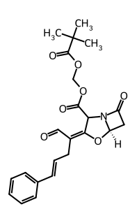 CC(C)(C)C(=O)OCOC(=O)C1C(=C(C=O)CC=Cc2ccccc2)O[C@@H]2CC(=O)N12